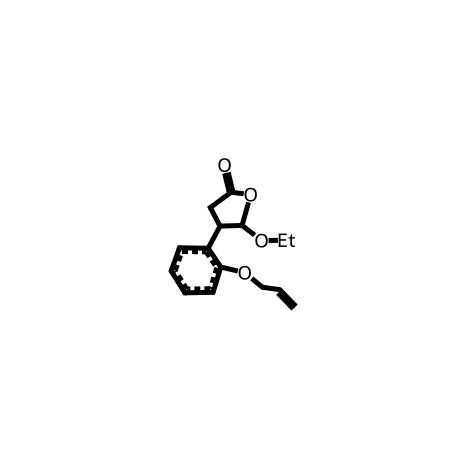 C=CCOc1ccccc1C1CC(=O)OC1OCC